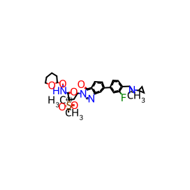 CN(Cc1ccc(-c2ccc3c(=O)n(CC[C@](C)(C(=O)NOC4CCCCO4)S(C)(=O)=O)cnc3c2)cc1F)C1CC1